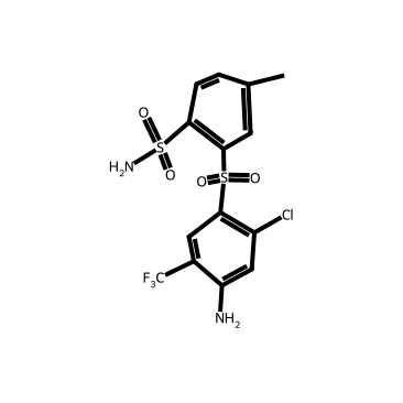 Cc1ccc(S(N)(=O)=O)c(S(=O)(=O)c2cc(C(F)(F)F)c(N)cc2Cl)c1